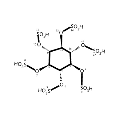 O=S(=O)(O)O[C@H]1[C@H](OS(=O)(=O)O)[C@@H](OS(=O)(=O)O)[C@H](OS(=O)(=O)O)[C@@H](OS(=O)(=O)O)[C@@H]1OS(=O)(=O)O